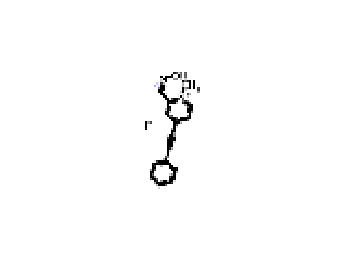 C[n+]1ccc(C#Cc2ccccc2)cc1/C=N\O.[I-]